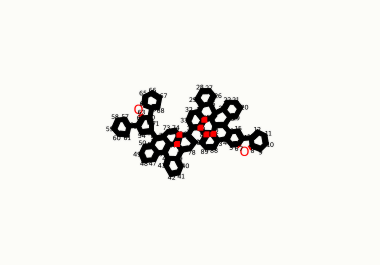 c1ccc(-c2cc3oc4ccccc4c3cc2-c2c3ccccc3c(-c3ccccc3-c3ccc(-c4ccc(-c5ccccc5-c5c6ccccc6c(-c6cc(-c7ccccc7)c7oc8ccccc8c7c6)c6ccccc56)cc4)cc3)c3ccccc23)cc1